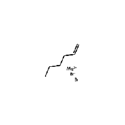 C=CCCCC.[Br-].[Br-].[Mg+2]